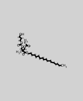 CCCCCCCCCCCCCCCCCCOC(=O)C(C)(COC(C)=O)COC(=O)OCCCO